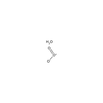 O.O=[O+][O-]